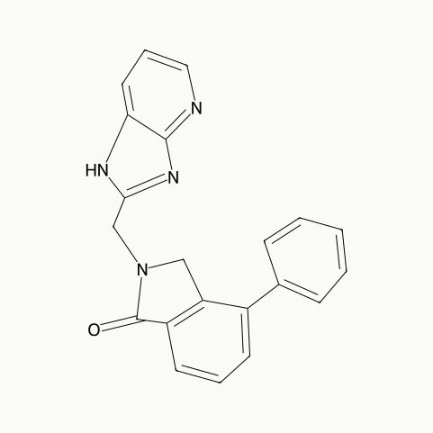 O=C1c2cccc(-c3ccccc3)c2CN1Cc1nc2ncccc2[nH]1